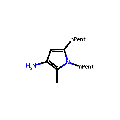 CCCCCc1cc(N)c(C)n1CCCCC